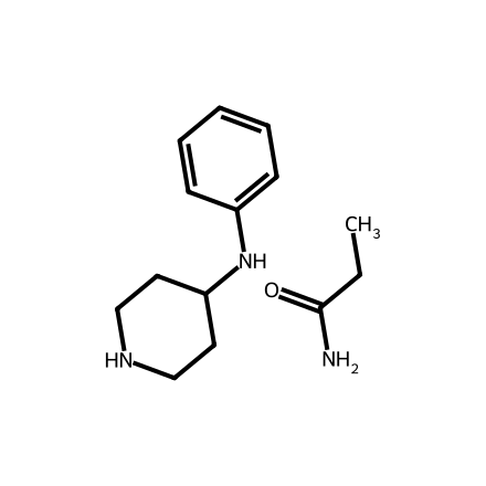 CCC(N)=O.c1ccc(NC2CCNCC2)cc1